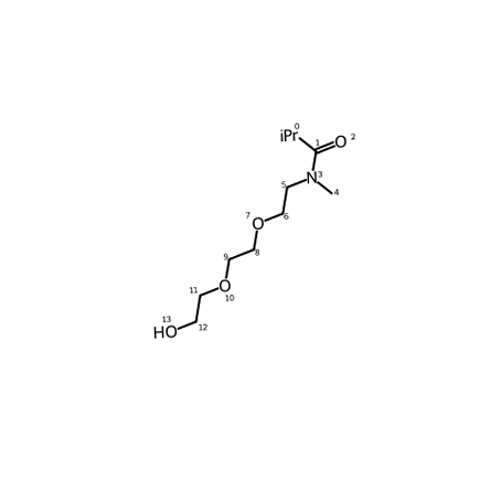 CC(C)C(=O)N(C)CCOCCOCCO